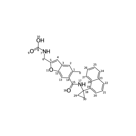 Cc1cc2cc(CNC(=O)O)oc2cc1C(=O)NC1(c2cccc3ccccc23)CC1